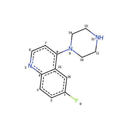 Fc1ccc2nccc(N3CCNCC3)c2c1